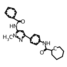 Cn1nc(-c2ccc(NC(=O)C3CCCCCC3)cc2)cc1NC(=O)c1ccccc1